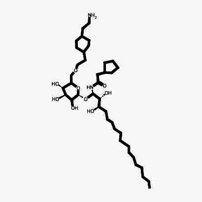 CCCCCCCCCCCCCC[C@@H](O)[C@@H](O)[C@@H](NC(=O)CC1CCCC1)O[C@H]1OC(COCCC2CCC(CCN)CC2)[C@@H](O)[C@H](O)C1O